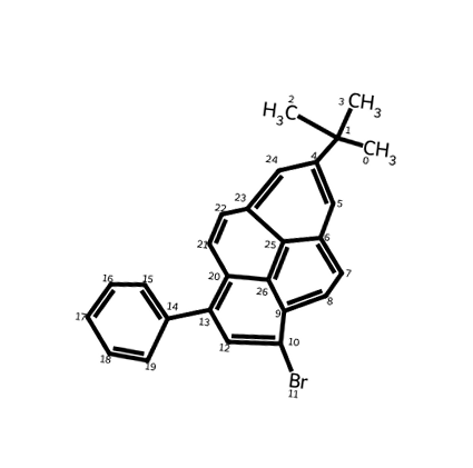 CC(C)(C)c1cc2ccc3c(Br)cc(-c4ccccc4)c4ccc(c1)c2c34